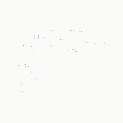 COc1ccc(S(=O)(=O)Nc2ccc3c(c2)NC(=O)C3)cc1